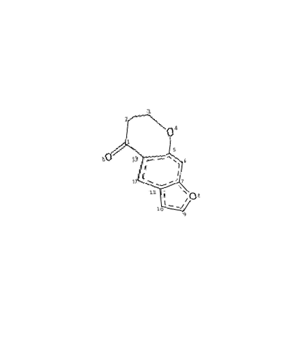 O=C1CCOc2cc3occc3cc21